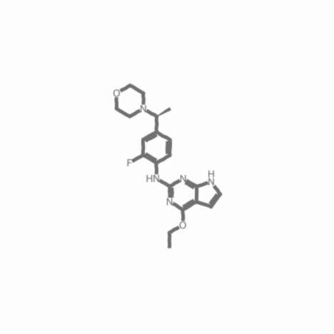 CCOc1nc(Nc2ccc([C@H](C)N3CCOCC3)cc2F)nc2[nH]ccc12